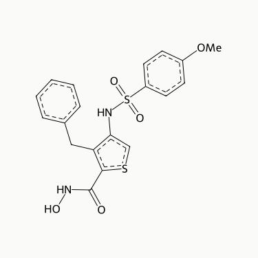 COc1ccc(S(=O)(=O)Nc2csc(C(=O)NO)c2Cc2ccccc2)cc1